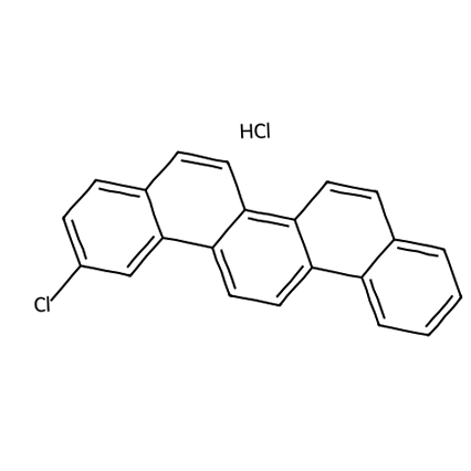 Cl.Clc1ccc2ccc3c(ccc4c5ccccc5ccc43)c2c1